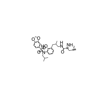 C#CC[C@@H](N)C(=O)NCC(C)Cc1cccc(N(CC(C)C)S(=O)(=O)c2ccc3c(c2)OCO3)c1O